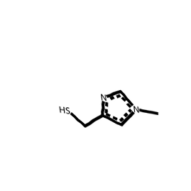 Cn1cnc(CS)c1